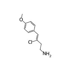 COc1ccc(C=C(Cl)CCN)cc1